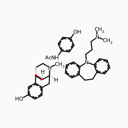 CC(=O)Nc1ccc(O)cc1.CN(C)CCCN1c2ccccc2CCc2ccccc21.CN1CC[C@@]23CCCC[C@@H]2[C@@H]1Cc1ccc(O)cc13